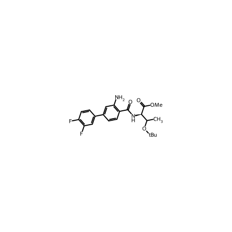 COC(=O)[C@H](NC(=O)c1ccc(-c2ccc(F)c(F)c2)cc1N)C(C)OC(C)(C)C